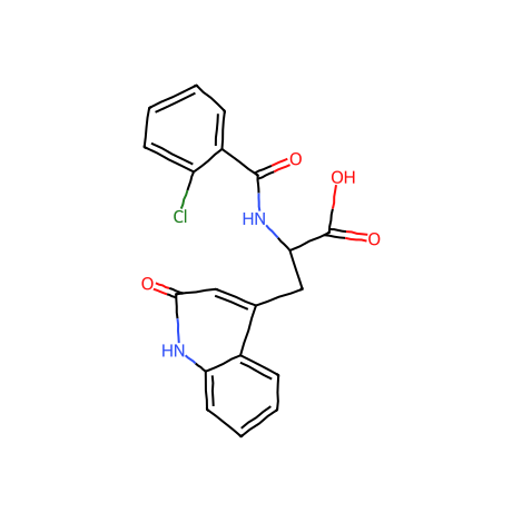 O=C(NC(Cc1cc(=O)[nH]c2ccccc12)C(=O)O)c1ccccc1Cl